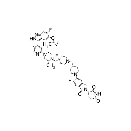 C[C@H]1CN(c2cc(-c3[nH]nc4cc(F)c(OC5(C)CC5)cc34)ncn2)CCN1CC1(F)CCN(CC2CCN(c3cc4c(cc3F)C(=O)N(C3CCC(=O)NC3=O)C4)CC2)CC1